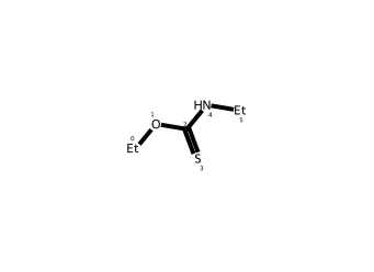 [CH2]COC(=S)NCC